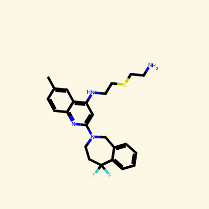 Cc1ccc2nc(N3CCC(F)(F)c4ccccc4C3)cc(NCCSCCN)c2c1